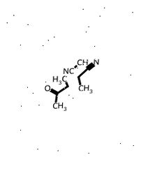 CC#N.CCC#N.CCC(C)=O